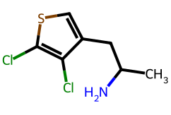 CC(N)Cc1csc(Cl)c1Cl